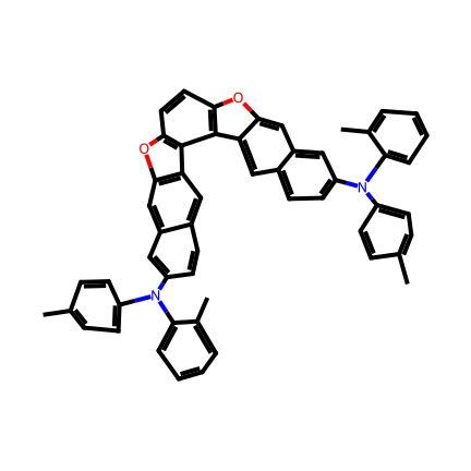 Cc1ccc(N(c2ccc3cc4c(cc3c2)oc2ccc3oc5cc6cc(N(c7ccc(C)cc7)c7ccccc7C)ccc6cc5c3c24)c2ccccc2C)cc1